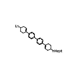 CCCCCCCC1CC=C(c2ccc(-c3ccc(C4=CCC(CC)CC4)cc3)cc2)CC1